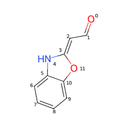 O=CC=C1Nc2ccccc2O1